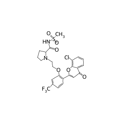 CS(=O)(=O)NC(=O)C1CCCN1CCOc1cc(C(F)(F)F)ccc1-c1cc(=O)c2cccc(Cl)c2o1